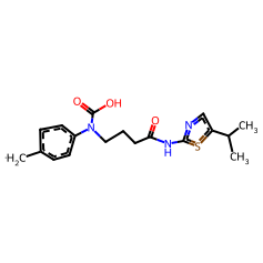 [CH2]c1ccc(N(CCCC(=O)Nc2ncc(C(C)C)s2)C(=O)O)cc1